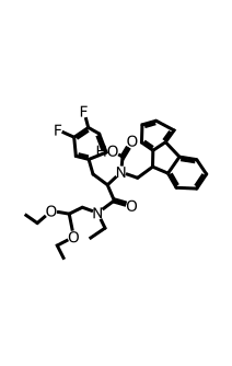 CCOC(CN(CC)C(=O)C(Cc1ccc(F)c(F)c1)N(CC1c2ccccc2-c2ccccc21)C(=O)O)OCC